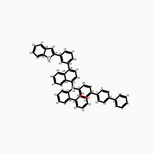 c1ccc(-c2ccc(-c3ccc(N(c4ccccc4-c4ccccc4)c4ccc(-c5cccc(-c6cc7ccccc7o6)c5)c5ccccc45)cc3)cc2)cc1